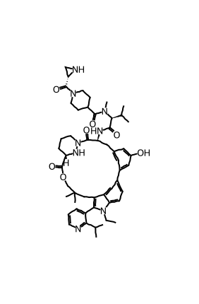 CCn1c(-c2cccnc2C(C)C)c2c3cc(ccc31)-c1cc(O)cc(c1)C[C@H](NC(=O)[C@H](C(C)C)N(C)C(=O)C1CCN(C(=O)[C@@H]3CN3)CC1)C(=O)N1CCC[C@H](N1)C(=O)OCC(C)(C)C2